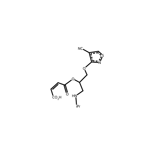 CC(C)NCC(COc1nscc1C#N)OC(=O)/C=C\C(=O)O